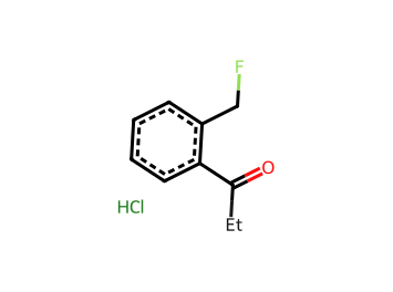 CCC(=O)c1ccccc1CF.Cl